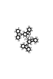 C[Si](C)(c1cc(-n2c3ccccc3c3ccccc32)cc2c1oc1ccccc12)c1cc(-n2c3ccccc3c3ccccc32)cc2c1oc1ccccc12